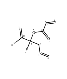 C=CCC(F)(OC(=O)C=C)C(=C)F